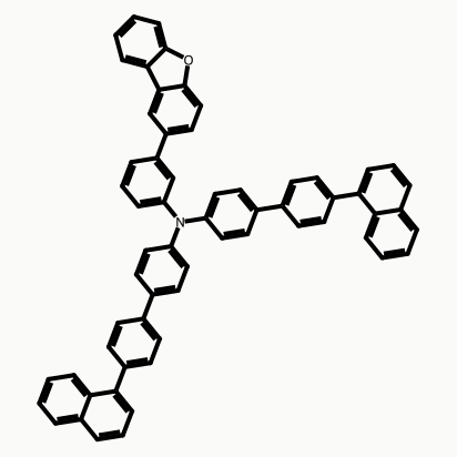 c1cc(-c2ccc3oc4ccccc4c3c2)cc(N(c2ccc(-c3ccc(-c4cccc5ccccc45)cc3)cc2)c2ccc(-c3ccc(-c4cccc5ccccc45)cc3)cc2)c1